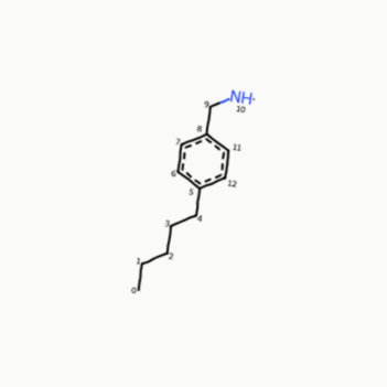 CCCCCc1ccc(C[NH])cc1